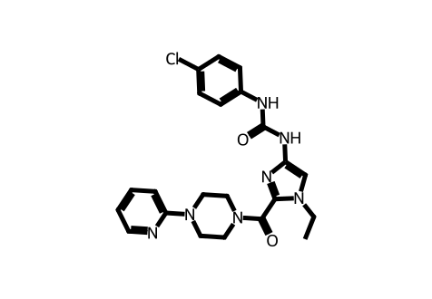 CCn1cc(NC(=O)Nc2ccc(Cl)cc2)nc1C(=O)N1CCN(c2ccccn2)CC1